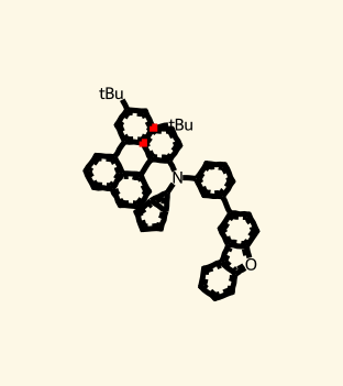 CC(C)(C)c1cc(-c2cccc3cccc(-c4ccccc4N(c4cccc(-c5ccc6oc7ccccc7c6c5)c4)c4c5cccc4-5)c23)cc(C(C)(C)C)c1